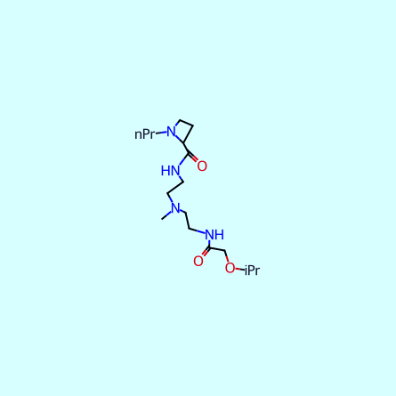 CCCN1CCC1C(=O)NCCN(C)CCNC(=O)COC(C)C